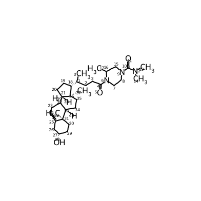 CC(CCC(=O)N1CCN(C(=O)N(C)C)CC1C)[C@H]1CC[C@H]2[C@@H]3CC=C4C[C@@H](O)CC[C@]4(C)[C@H]3CC[C@]12C